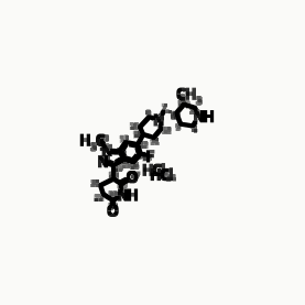 C[C@@H]1CNCC[C@@H]1CN1CCC(c2cc3c(cc2F)c(C2CCC(=O)NC2=O)nn3C)CC1.Cl.Cl